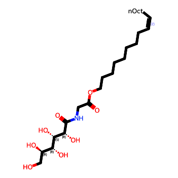 CCCCCCCC/C=C\CCCCCCCCOC(=O)CNC(=O)[C@H](O)[C@@H](O)[C@H](O)[C@H](O)CO